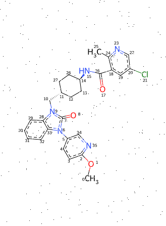 COc1ccc(-n2c(=O)n(C[C@H]3CC[C@H](NC(=O)c4cc(Cl)cnc4C)CC3)c3ccccc32)cn1